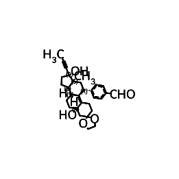 CC#C[C@]1(O)CC[C@H]2[C@@H]3CC[C@@]4(O)CC5(CCC4=C3[C@@H](c3ccc(C=O)cc3)C[C@@]21C)OCCO5